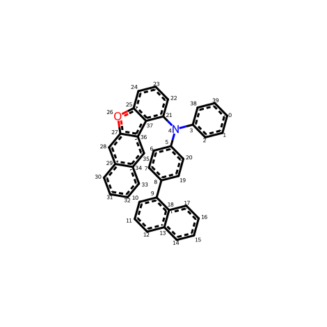 c1ccc(N(c2ccc(-c3cccc4ccccc34)cc2)c2cccc3oc4cc5ccccc5cc4c23)cc1